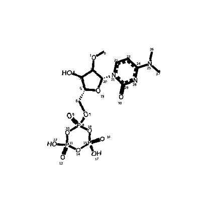 COC1C(O)[C@@H](COP2(=O)OP(=O)(O)OP(=O)(O)O2)O[C@H]1n1ccc(N(C)C)nc1=O